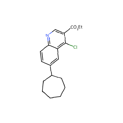 CCOC(=O)c1cnc2ccc(C3CCCCCC3)cc2c1Cl